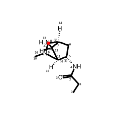 CCC(=O)N[C@H]1C[C@@H]2CN(C)[C@H]1[C@@H]2N